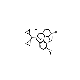 COc1ccc2c3c1O[C@@H]1C(F)CCC4[C@H](C2)N(C(C2CC2)C2CC2)CC[C@]341